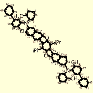 Cc1ccccc1N(c1ccc2cc3c(cc2c1)oc1c(C(C)C)c2c(oc4cc5cc(N(c6ccccc6C)c6cc(-c7ccccc7)ccc6C)ccc5cc42)c(C(C)C)c13)c1cc(-c2ccccc2)ccc1C